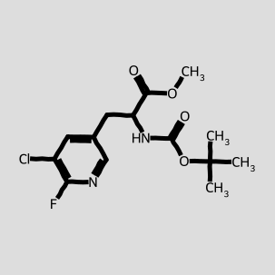 COC(=O)C(Cc1cnc(F)c(Cl)c1)NC(=O)OC(C)(C)C